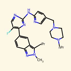 CCCN1CCN(Cc2ccc(Nc3ncc(F)c(-c4ccc5nn(C)c(C(C)C)c5c4)n3)nc2)CC1